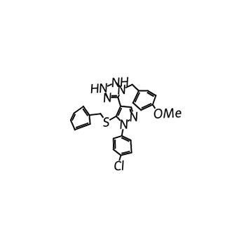 COc1ccc(CN2NNN=C2c2cnn(-c3ccc(Cl)cc3)c2SCc2ccccc2)cc1